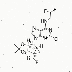 CC1(C)O[C@H]2[C@H](n3cnc4c(NCC(F)F)nc(Cl)nc43)[C@H]3C[C@@]3(CF)[C@H]2O1